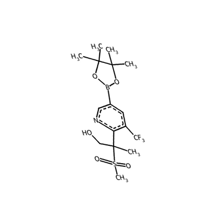 CC1(C)OB(c2cnc(C(C)(CO)S(C)(=O)=O)c(C(F)(F)F)c2)OC1(C)C